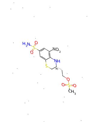 CS(=O)(=O)OCC[C@@H]1CSc2cc(S(N)(=O)=O)cc([N+](=O)[O-])c2N1